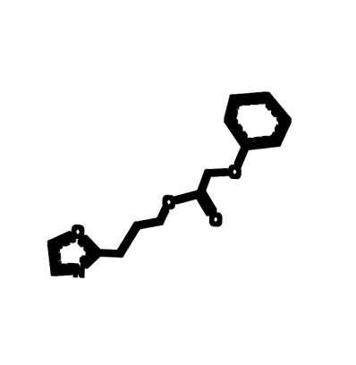 O=C(COc1ccccc1)OCCCc1ncco1